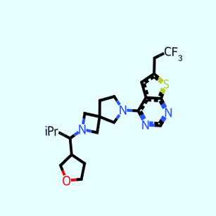 CC(C)C(C1CCOC1)N1CC2(CCN(c3ncnc4sc(CC(F)(F)F)cc34)C2)C1